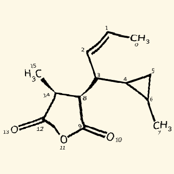 C/C=C\C(C1CC1C)[C@H]1C(=O)OC(=O)[C@H]1C